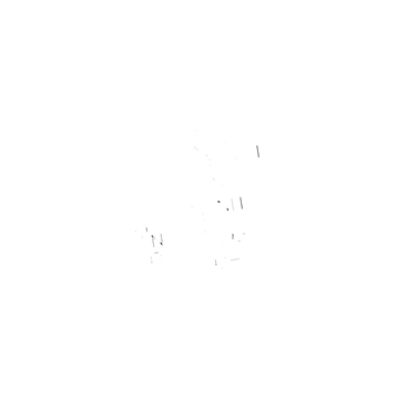 O=C(O)c1cc([N+](=O)[O-])ccc1Nc1cc(I)c2ccccc2c1